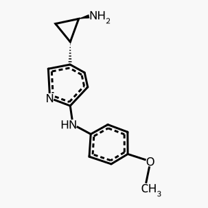 COc1ccc(Nc2ccc([C@@H]3C[C@H]3N)cn2)cc1